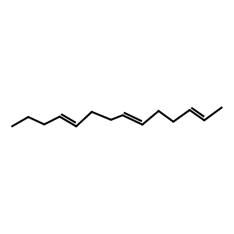 CC=CCCC=CCCC=CCCC